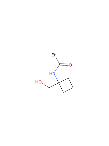 CCC(=O)NC1(CO)CCC1